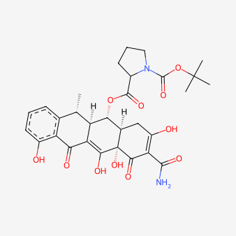 C[C@H]1c2cccc(O)c2C(=O)C2=C(O)[C@]3(O)C(=O)C(C(N)=O)=C(O)C[C@@H]3[C@@H](OC(=O)C3CCCN3C(=O)OC(C)(C)C)[C@@H]21